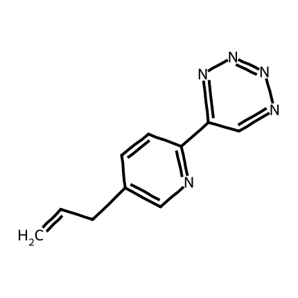 C=CCc1ccc(-c2cnnnn2)nc1